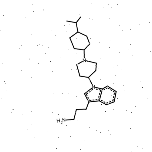 CC(C)C1CCC(N2CCC(n3cc(CCCN)c4ccccc43)CC2)CC1